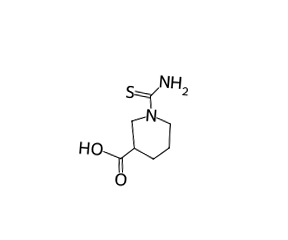 NC(=S)N1CCCC(C(=O)O)C1